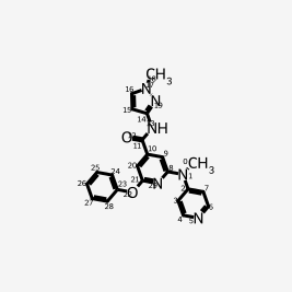 CN(c1ccncc1)c1cc(C(=O)Nc2ccn(C)n2)cc(Oc2ccccc2)n1